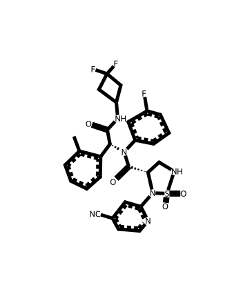 Cc1ccccc1[C@H](C(=O)NC1CC(F)(F)C1)N(C(=O)[C@@H]1CNS(=O)(=O)N1c1cc(C#N)ccn1)c1cccc(F)c1